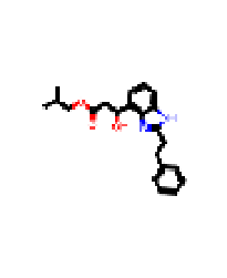 CC(C)COC(=O)CC(O)c1cccc2[nH]c(CCc3ccccc3)nc12